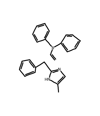 C=CB(c1ccccc1)c1ccccc1.Cc1cnc(Cc2ccccc2)[nH]1